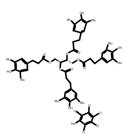 CC(C)(C)c1cc(CCC(=O)OC[C@H](OC(=O)CCc2cc(C(C)(C)C)c(O)c(C(C)(C)C)c2)[C@@H](COC(=O)CCc2cc(C(C)(C)C)c(O)c(C(C)(C)C)c2)OC(=O)CCc2cc(C(C)(C)C)c(O)c(C(C)(C)C)c2)cc(C(C)(C)C)c1O.Oc1c(Cl)c(Cl)c(Cl)c(Cl)c1Cl